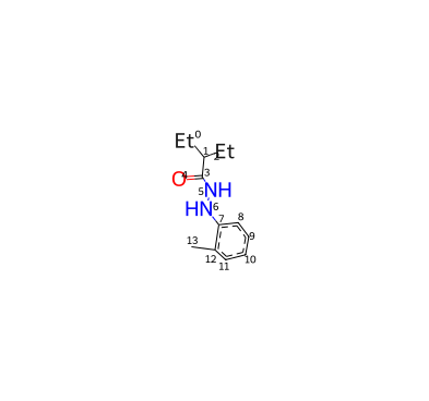 CCC(CC)C(=O)NNc1ccccc1C